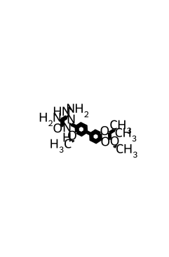 CCOC(=O)C(Oc1cccc(-c2ccc(-c3nc(NN)c(N)c(=O)[nH]3)c(OCC)c2)c1)C(C)C